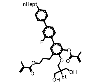 C=C(C)C(=O)OCCCc1cc(-c2ccc(-c3ccc(CCCCCCC)cc3)cc2F)cc(OC(=O)C(=C)C)c1OCC(CC)(CO)CO